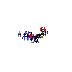 CC(C)(N)CC(=O)N[C@@H]1CCc2ccccc2N(Cc2ccc3sc(-c4ccccc4CO)cc3c2)C1=O